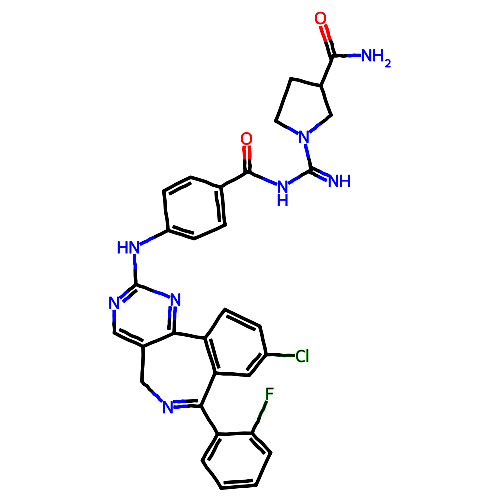 N=C(NC(=O)c1ccc(Nc2ncc3c(n2)-c2ccc(Cl)cc2C(c2ccccc2F)=NC3)cc1)N1CCC(C(N)=O)C1